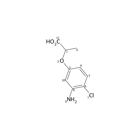 CC(Oc1ccc(Cl)c(N)c1)C(=O)O